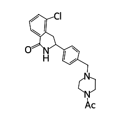 CC(=O)N1CCN(Cc2ccc(C3Cc4c(Cl)cccc4C(=O)N3)cc2)CC1